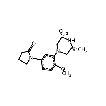 COc1ccc(N2CCCC2=O)cc1N1C[C@@H](C)N[C@@H](C)C1